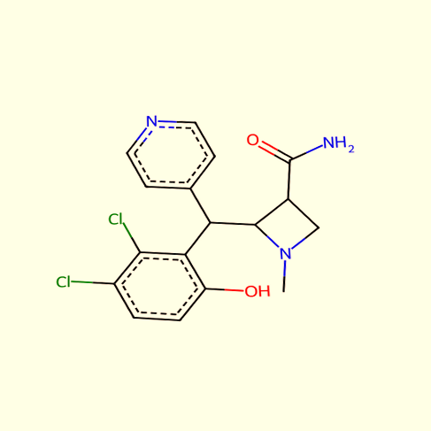 CN1CC(C(N)=O)C1C(c1ccncc1)c1c(O)ccc(Cl)c1Cl